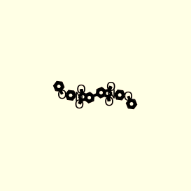 O=C1c2ccc(-c3ccc4c(c3)C(=O)N(c3ccc(Oc5ccccc5)cc3)C4=O)cc2C(=O)N1c1ccc(Oc2ccccc2)cc1